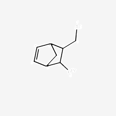 CCCC1C2C=CC(C2)C1CC(C)=O